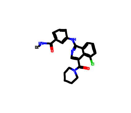 CCNC(=O)c1cccc(Nc2ncc(C(=O)N3CCCCC3)c3c(Cl)cccc23)c1